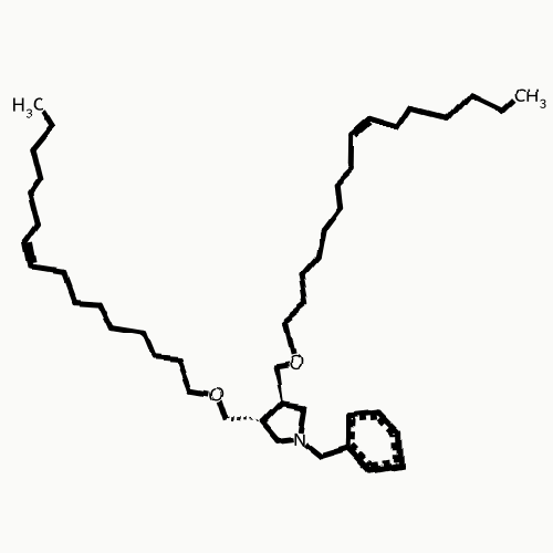 CCCCCC/C=C\CCCCCCCCOC[C@H]1CN(Cc2ccccc2)C[C@@H]1COCCCCCCCC/C=C\CCCCCC